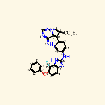 CCOC(=O)c1cn2ncnc(N)c2c1-c1ccc(Nc2nc3ccc(Oc4ccccc4)c(F)c3[nH]2)cc1